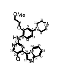 COCCOc1cc(N2CC[N]CC2)ccc1Nc1ncc(Cl)c(-c2cnc3ccccn23)n1